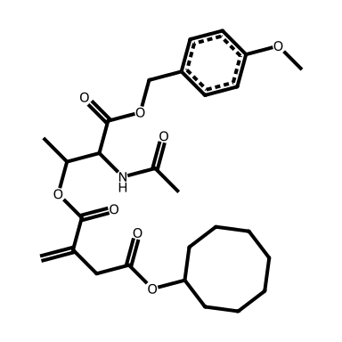 C=C(CC(=O)OC1CCCCCCC1)C(=O)OC(C)C(NC(C)=O)C(=O)OCc1ccc(OC)cc1